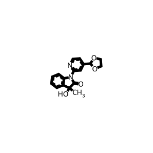 CC1(O)C(=O)N(c2cc(C3OCCO3)ccn2)c2ccccc21